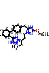 CCCCCn1nc(OCC)nc1Cc1ccc(-c2ccccc2-c2nnn[nH]2)cc1